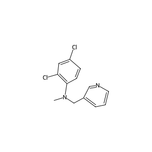 CN(Cc1cccnc1)c1ccc(Cl)cc1Cl